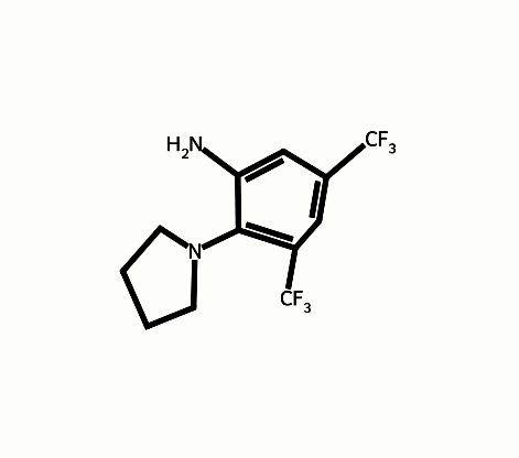 Nc1cc(C(F)(F)F)cc(C(F)(F)F)c1N1CCCC1